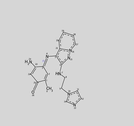 CC1=C/C(=N\c2c(NCCn3ccnc3)nn3ccccc23)C(N)=CC1=O